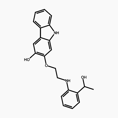 CC(O)c1ccccc1NCCOc1cc2[nH]c3ccccc3c2cc1O